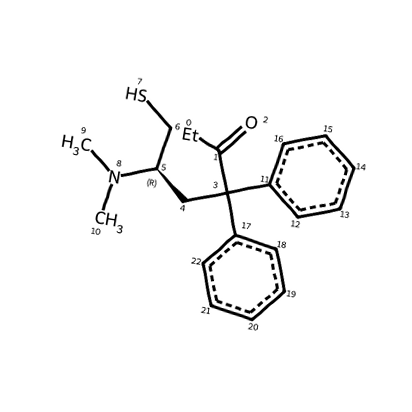 CCC(=O)C(C[C@H](CS)N(C)C)(c1ccccc1)c1ccccc1